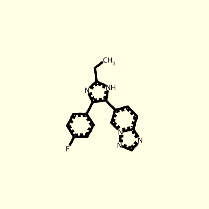 CCc1nc(-c2ccc(F)cc2)c(-c2ccc3ncnn3c2)[nH]1